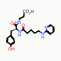 O=C(O)CCNC(=O)[C@H](Cc1ccc(O)cc1)NC(=O)CCCCNc1ccccn1